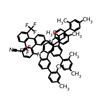 Cc1ccc(-c2ccc3c(c2)c2cc(-c4ccc(C)cc4C)ccc2n3-c2ccc(-c3c(C(F)(F)F)cccc3C(F)(F)F)c(-c3cc(C#N)ccc3-n3c4ccc(-c5ccc(C)cc5C)cc4c4cc(-c5ccc(C)cc5C)ccc43)c2)c(C)c1